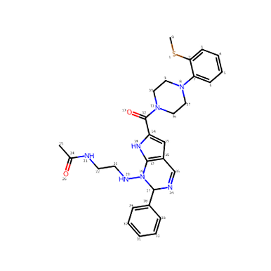 CSc1ccccc1N1CCN(C(=O)c2cc3c([nH]2)N(NCCNC(C)=O)C(c2ccccc2)N=C3)CC1